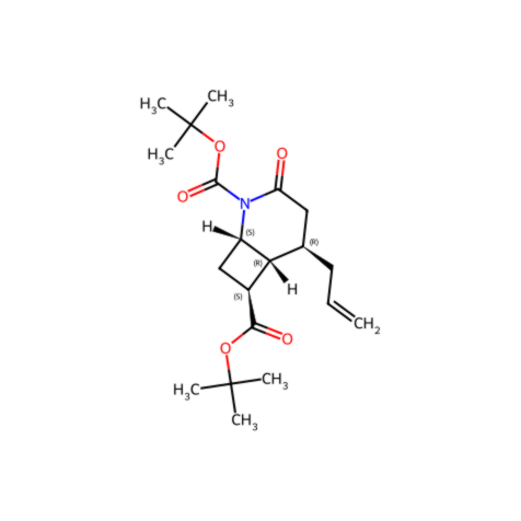 C=CC[C@@H]1CC(=O)N(C(=O)OC(C)(C)C)[C@H]2C[C@H](C(=O)OC(C)(C)C)[C@@H]12